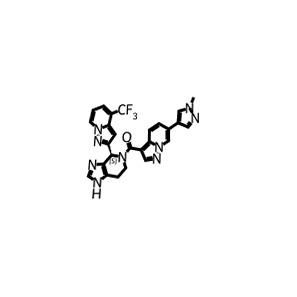 Cn1cc(-c2ccc3c(C(=O)N4CCc5[nH]cnc5[C@H]4c4cc5c(C(F)(F)F)cccn5n4)cnn3c2)cn1